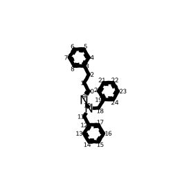 C(CCc1ccccc1)=NN(Cc1ccccc1)Cc1ccccc1